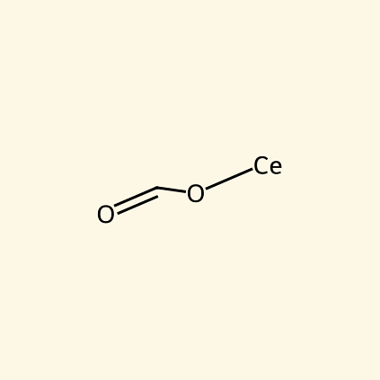 O=C[O][Ce]